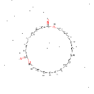 O=C1CCCCCCC(=O)OCCCCCCCCCCCCCCO1